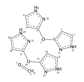 C=O.c1cc(Oc2cc[nH]n2)n[nH]1.c1cc(Oc2cc[nH]n2)n[nH]1